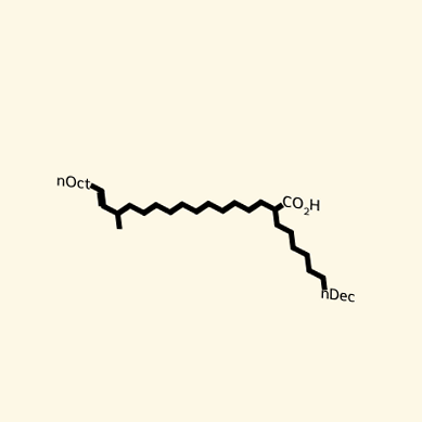 CCCCCCCCC=CC(C)CCCCCCCCCCCC(CCCCCCCCCCCCCCCC)C(=O)O